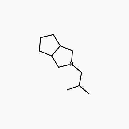 CC(C)CN1CC2CCCC2C1